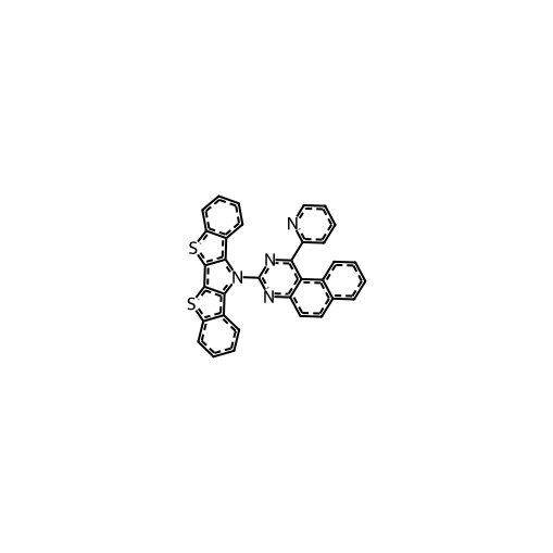 c1ccc(-c2nc(-n3c4c5ccccc5sc4c4sc5ccccc5c43)nc3ccc4ccccc4c23)nc1